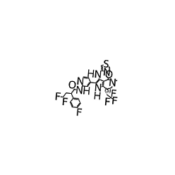 CN1C[C@H](CC(F)(F)F)c2[nH]c(-c3ccnc(NC(=O)C(CC(F)F)c4ccc(F)cc4)c3)c(Nc3cscn3)c2C1=O